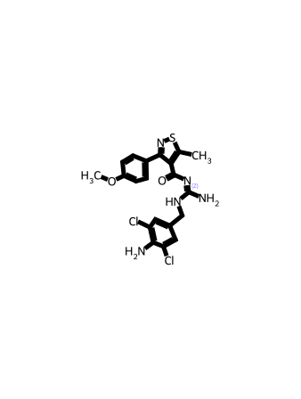 COc1ccc(-c2nsc(C)c2C(=O)/N=C(/N)NCc2cc(Cl)c(N)c(Cl)c2)cc1